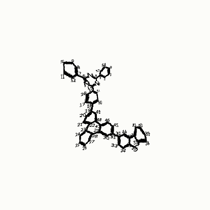 c1ccc(-c2nc(-c3ccccc3)nc(-c3ccc(-c4ccc5c6ccccc6c6cc(-c7ccc8sc9ccccc9c8c7)ccc6c5c4)cc3)n2)cc1